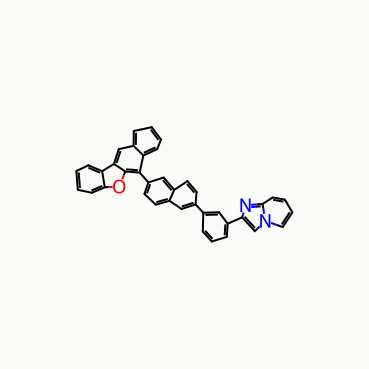 c1cc(-c2ccc3cc(-c4c5ccccc5cc5c4oc4ccccc45)ccc3c2)cc(-c2cn3ccccc3n2)c1